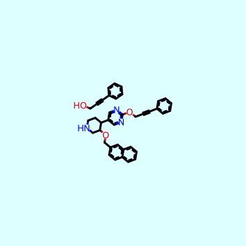 C(#Cc1ccccc1)COc1ncc(C2CCNCC2OCc2ccc3ccccc3c2)cn1.OCC#Cc1ccccc1